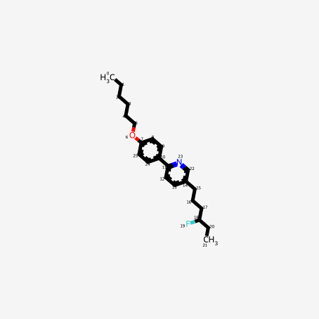 CCCCCCOc1ccc(-c2ccc(CCCC(F)CC)cn2)cc1